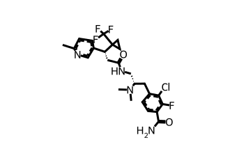 Cc1ccc([C@@H](CC(=O)NC[C@H](Cc2ccc(C(N)=O)c(F)c2Cl)N(C)C)C2(C(F)(F)F)CC2)cn1